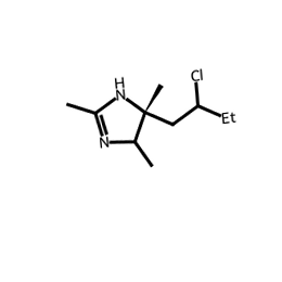 CCC(Cl)C[C@@]1(C)NC(C)=NC1C